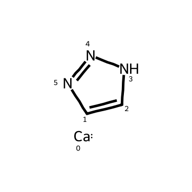 [Ca].c1c[nH]nn1